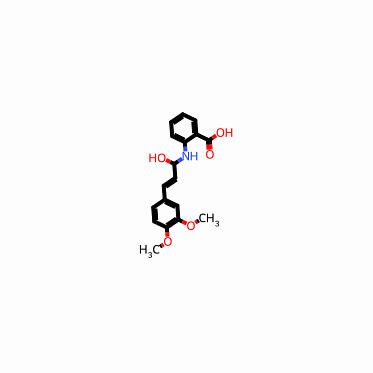 COc1ccc(/C=C/C(O)Nc2ccccc2C(=O)O)cc1OC